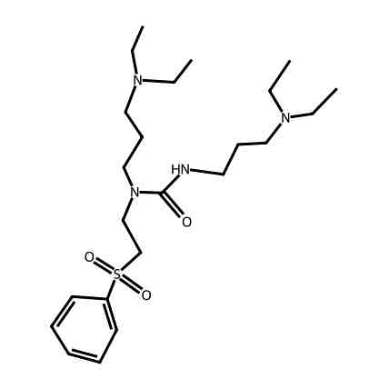 CCN(CC)CCCNC(=O)N(CCCN(CC)CC)CCS(=O)(=O)c1ccccc1